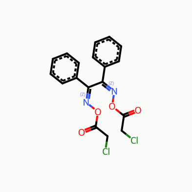 O=C(CCl)O/N=C(\C(=N/OC(=O)CCl)c1ccccc1)c1ccccc1